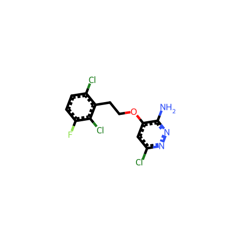 Nc1nnc(Cl)cc1OCCc1c(Cl)ccc(F)c1Cl